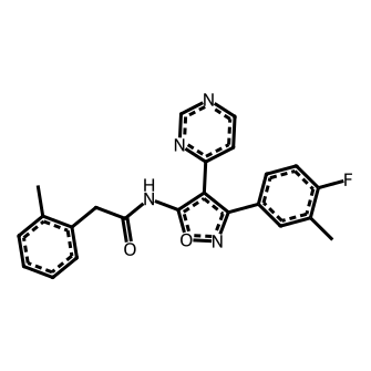 Cc1cc(-c2noc(NC(=O)Cc3ccccc3C)c2-c2ccncn2)ccc1F